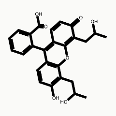 CC(O)Cc1c2oc3c(CC(C)O)c(O)ccc3c(-c3ccccc3C(=O)O)c-2ccc1=O